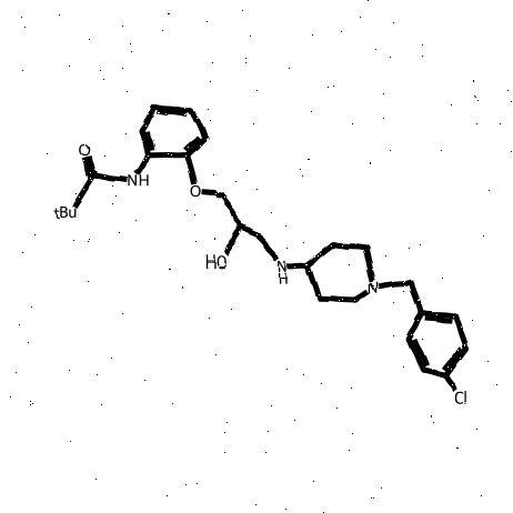 CC(C)(C)C(=O)Nc1ccccc1OCC(O)CNC1CCN(Cc2ccc(Cl)cc2)CC1